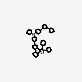 c1ccc(-c2cccc(-c3ccc(N(c4ccccc4)c4ccc(-c5ccc6c7ccccc7c7oc(-c8ccccc8)c(-c8ccccc8)c7c6c5)cc4)cc3)c2)cc1